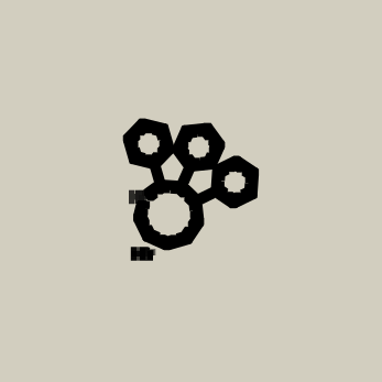 Br.c1ccc(-c2ccccc[pH]c(-c3ccccc3)c2-c2ccccc2)cc1